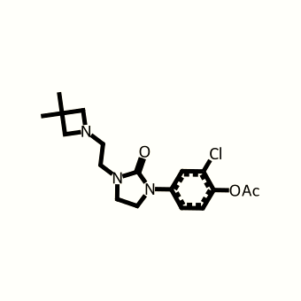 CC(=O)Oc1ccc(N2CCN(CCN3CC(C)(C)C3)C2=O)cc1Cl